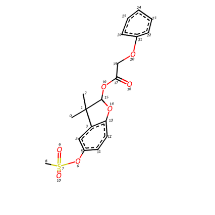 CC1(C)c2cc(OS(C)(=O)=O)ccc2OC1OC(=O)COc1ccccc1